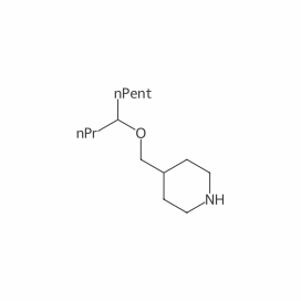 CCCCCC(CCC)OCC1CCNCC1